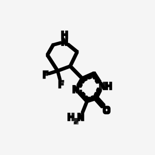 Nc1nc(C2CNCCC2(F)F)c[nH]c1=O